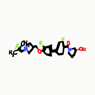 CC(C)(F)CN1CCC(COc2ccc(-c3ccc(C(=O)N4CCC[C@@H](O)C4)c(F)c3)cc2F)CC1